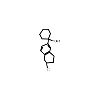 CCCCCCCCC1(c2ccc3c(c2)CCC(CC)C3)CCCCC1